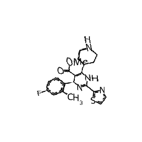 COC(=O)C1=C(C2CCNCC2)NC(c2nccs2)=N[C@H]1c1ccc(F)cc1C